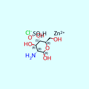 N[C@@H]1[C@@H](O)[C@H](O)[C@@H](CO)O[C@H]1O.O=S(=O)([O-])O.[Cl-].[Zn+2]